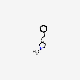 CN1CC[C@@H](CCc2ccccc2)C1